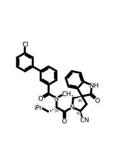 CC(C)C[C@@H](C(=O)N1C[C@]2(C[C@H]1C#N)C(=O)Nc1ccccc12)N(C)C(=O)c1cccc(-c2cccc(Cl)c2)c1